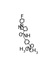 CN(C)C(=O)c1ccc(CNC(=O)c2cccc3c2cnn3-c2ccc(F)cc2)cc1